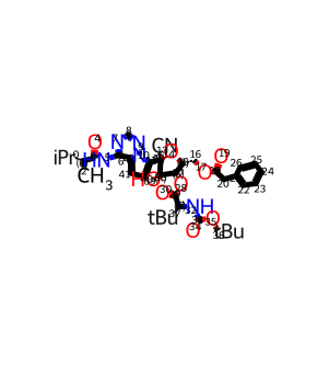 CC(C)[C@@H](C)C(=O)Nc1ncnn2c([C@]3(C#N)O[C@H](COC(=O)Cc4ccccc4)[C@@H](OC(=O)[C@@H](NC(=O)OC(C)(C)C)C(C)(C)C)[C@H]3O)ccc12